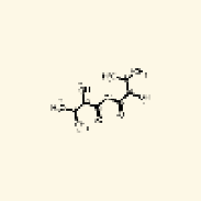 CC(C)C(O)C(=O)OC(=O)C(O)C(C)C